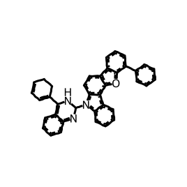 C1=CCCC(C2=c3ccccc3=NC(n3c4ccccc4c4c5oc6c(-c7ccccc7)cccc6c5ccc43)N2)=C1